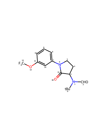 CC(C)(C)N(C=O)C1CCN(c2cccc(OC(F)(F)F)c2)C1=O